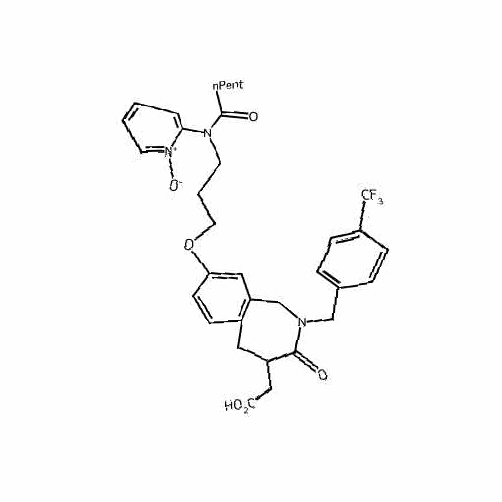 CCCCCC(=O)N(CCCOc1ccc2c(c1)CN(Cc1ccc(C(F)(F)F)cc1)C(=O)C(CC(=O)O)C2)c1cccc[n+]1[O-]